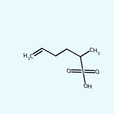 C=CCCC(C)S(=O)(=O)O